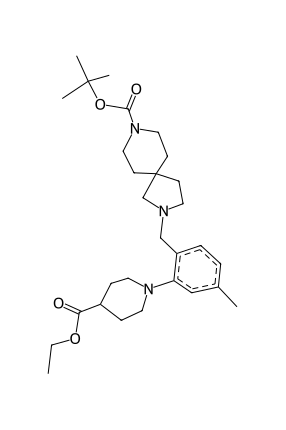 CCOC(=O)C1CCN(c2cc(C)ccc2CN2CCC3(CCN(C(=O)OC(C)(C)C)CC3)C2)CC1